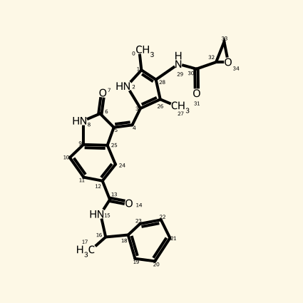 Cc1[nH]c(/C=C2\C(=O)Nc3ccc(C(=O)NC(C)c4ccccc4)cc32)c(C)c1NC(=O)C1CO1